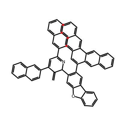 C=C1C(c2ccc3ccccc3c2)=CC(c2ccc3ccccc3c2)=NC1c1cc2oc3ccccc3c2cc1-c1cc2cc3ccccc3cc2c2cc3ccccc3cc12